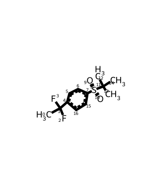 CC(F)(F)c1ccc(S(=O)(=O)C(C)(C)C)cc1